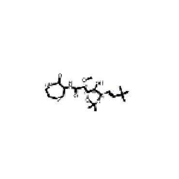 CO[C@@H](C(=O)NC1CSCCNC1=O)[C@@H]1OC(C)(C)O[C@H](/C=C/C(C)(C)C)[C@@H]1O